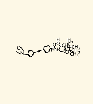 CC(O)C(CB1OC(C)(C)C(C)(C)O1)NC(=O)c1ccc(C#Cc2ccc(CN3CCOCC3)cc2)cc1